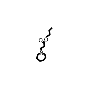 CCCCOC(=O)CCN1CCCCCC1